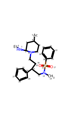 CCNC1CC(C(C)=O)CCN1CCC(CN(C)S(=O)(=O)c1ccccc1)c1ccccc1